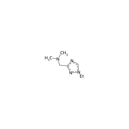 CCn1cnc(CN(C)C)n1